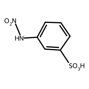 O=[N+]([O-])Nc1cccc(S(=O)(=O)O)c1